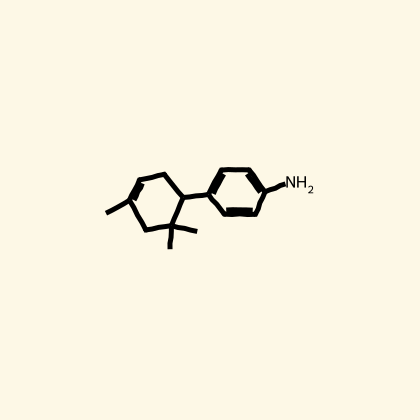 CC1=CCC(c2ccc(N)cc2)C(C)(C)C1